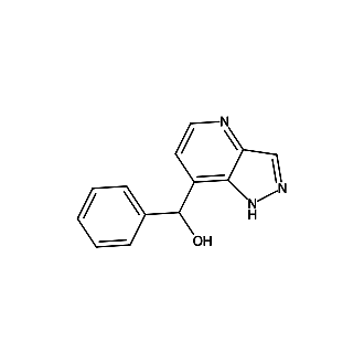 OC(c1ccccc1)c1ccnc2cn[nH]c12